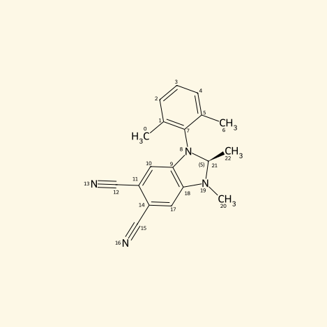 Cc1cccc(C)c1N1c2cc(C#N)c(C#N)cc2N(C)[C@@H]1C